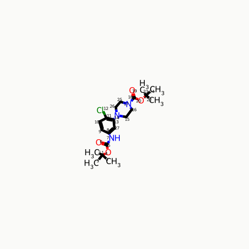 CC(C)(C)OC(=O)Nc1ccc(Cl)c(N2CCN(C(=O)OC(C)(C)C)CC2)c1